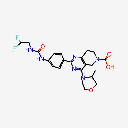 CC1COCCN1c1nc(-c2ccc(NC(=O)NCC(F)F)cc2)nc2c1CN(C(=O)O)CC2